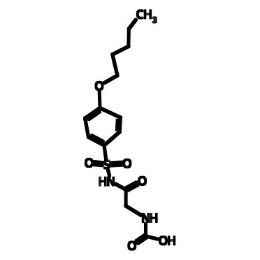 CCCCCOc1ccc(S(=O)(=O)NC(=O)CNC(=O)O)cc1